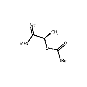 CNC(=N)[C@@H](C)OC(=O)C(C)(C)C